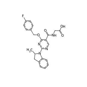 CC1Cc2ccccc2N1c1ncc(C(=O)NCC(=O)O)c(OCc2ccc(F)cc2)n1